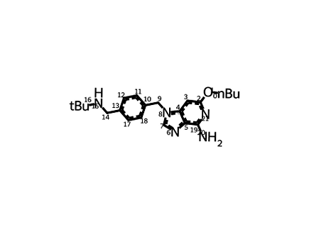 CCCCOc1cc2c(ncn2Cc2ccc(CNC(C)(C)C)cc2)c(N)n1